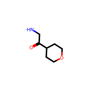 [NH]CC(=O)C1CCOCC1